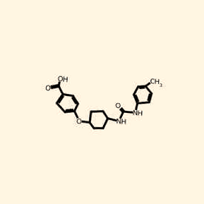 Cc1ccc(NC(=O)NC2CCC(Oc3ccc(C(=O)O)cc3)CC2)cc1